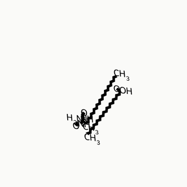 CCCCCCCCCCCCCCCCCCCCCC(=O)O.CCCCCCCCCCCCCCCCCCCCCCC(C)C(N)(NC=O)NC=O